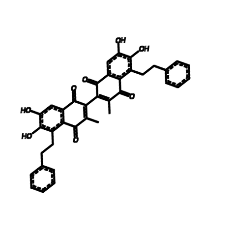 CC1=C(C2=C(C)C(=O)c3c(cc(O)c(O)c3CCc3ccccc3)C2=O)C(=O)c2cc(O)c(O)c(CCc3ccccc3)c2C1=O